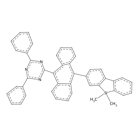 C[Si]1(C)c2ccccc2-c2ccc(-c3c4ccccc4c(-c4nc(-c5ccccc5)nc(-c5ccccc5)n4)c4ccccc34)cc21